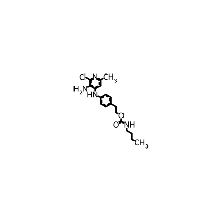 CCCCNC(=O)OCCc1ccc(Nc2cc(C)nc(Cl)c2N)cc1